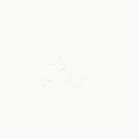 CC[S+]([O-])c1ccc(NCC2CC2)c(C2=CC(NC)C(NC)=C2)c1